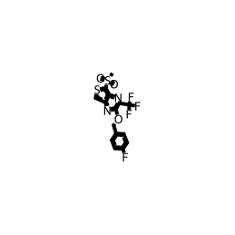 CS(=O)(=O)c1scc2nc(OCc3ccc(F)cc3)c(C(F)(F)F)nc12